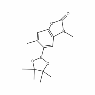 Cc1cc2oc(=O)n(C)c2cc1B1OC(C)(C)C(C)(C)O1